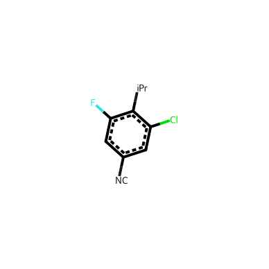 [C-]#[N+]c1cc(F)c(C(C)C)c(Cl)c1